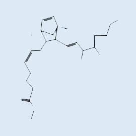 CCCCC(C)C(O)C=CC1C(C/C=C\CCCC(=O)OC)[C@H]2C=C[C@H]1C2